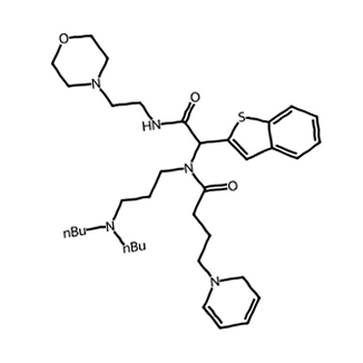 CCCCN(CCCC)CCCN(C(=O)CCCN1C=CC=CC1)C(C(=O)NCCN1CCOCC1)c1cc2ccccc2s1